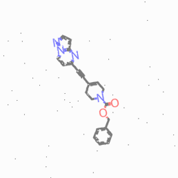 O=C(OCc1ccccc1)N1CC=C(C#Cc2ccn3nccc3n2)CC1